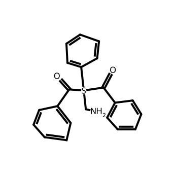 NCS(C(=O)c1ccccc1)(C(=O)c1ccccc1)c1ccccc1